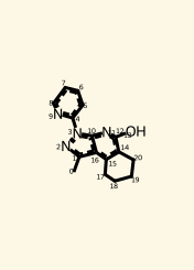 Cc1nn(-c2ccccn2)c2nc(O)c3c(c12)CCCC3